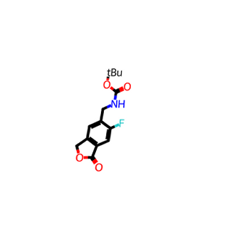 CC(C)(C)OC(=O)NCc1cc2c(cc1F)C(=O)OC2